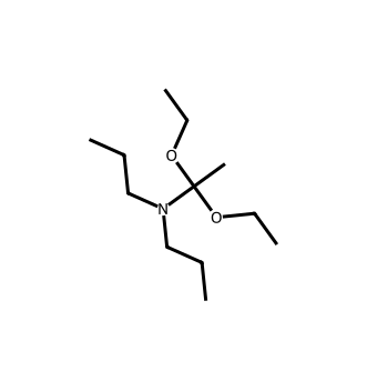 CCCN(CCC)C(C)(OCC)OCC